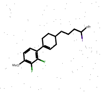 CCCC(I)CCCC1CC=C(c2ccc(OC)c(F)c2F)CC1